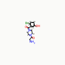 NCC(=O)N1CCN(C(=O)c2cc(O)ccc2Br)CC1